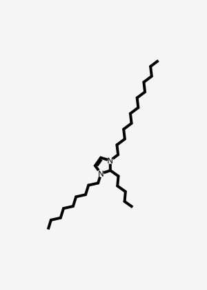 CCCCCCCCCCCCCN1C=CN(CCCCCCCCC)C1CCCCC